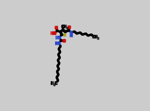 CCCCCCCCCCCCCCNC(=O)Nc1sc(C(=O)NCCCCCCCC)c(C)c1C(=O)O